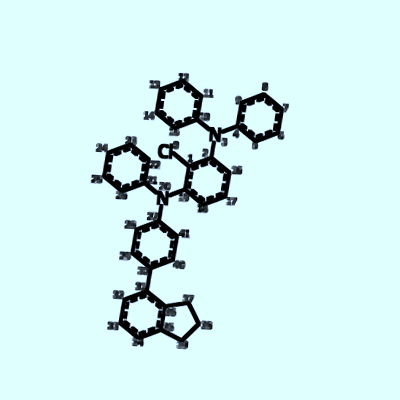 Clc1c(N(c2ccccc2)c2ccccc2)cccc1N(c1ccccc1)c1ccc(-c2cccc3c2CCC3)cc1